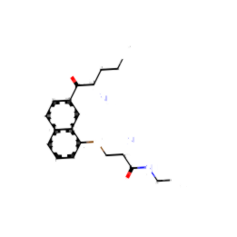 N[C@@H](CSc1cccc2ccc(C(=O)[C@@H](N)CCC(=O)O)cc12)C(=O)NCC(=O)O